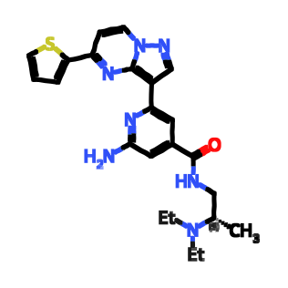 CCN(CC)[C@@H](C)CNC(=O)c1cc(N)nc(-c2cnn3ccc(-c4cccs4)nc23)c1